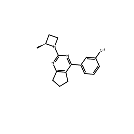 C[C@H]1CCN1c1nc2c(c(-c3cccc(O)c3)n1)CCC2